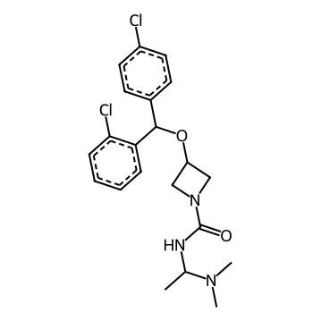 CC(NC(=O)N1CC(OC(c2ccc(Cl)cc2)c2ccccc2Cl)C1)N(C)C